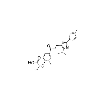 CCC(Oc1ccc(C(=O)CCc2sc(-c3ccc(C)cc3)nc2C(C)C)cc1C)C(=O)O